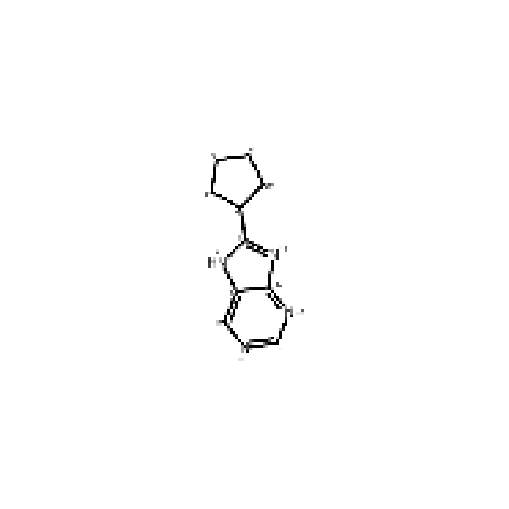 c1ncc2[nH]c(C3CCCC3)nc2n1